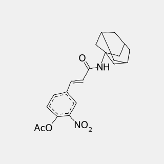 CC(=O)Oc1ccc(C=CC(=O)NC23CC4CC(CC(C4)C2)C3)cc1[N+](=O)[O-]